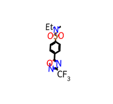 CCN(C)S(=O)(=O)c1ccc(-c2nc(C(F)(F)F)no2)cc1